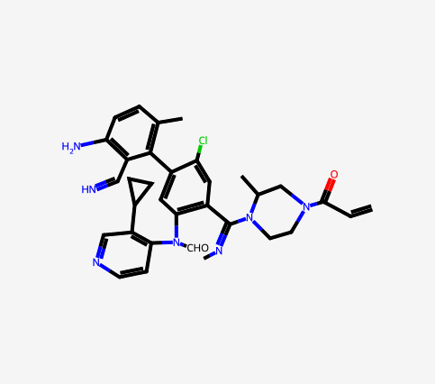 C=CC(=O)N1CCN(/C(=N/C)c2cc(Cl)c(-c3c(C)ccc(N)c3C=N)cc2N(C=O)c2ccncc2C2CC2)C(C)C1